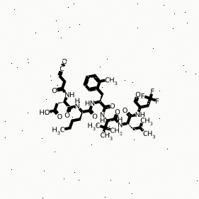 CCCC[C@@H](NC(=O)[C@H](CC(=O)O)NC(=O)CC=C=O)C(=O)N[C@@H](Cc1ccccc1C)C(=O)N[C@H](C(=O)N[C@@H](CC(C)C)C(=O)NC(C=O)CC(F)(F)F)C(C)(C)C